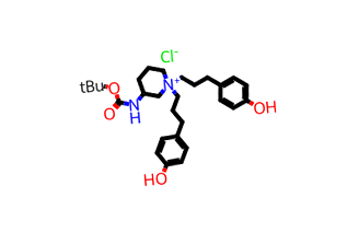 CC(C)(C)OC(=O)NC1CCC[N+](CCCc2ccc(O)cc2)(CCCc2ccc(O)cc2)C1.[Cl-]